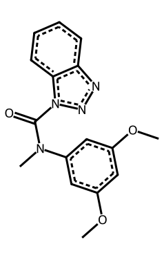 COc1cc(OC)cc(N(C)C(=O)n2nnc3ccccc32)c1